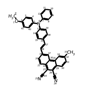 COc1ccc(N(c2ccccc2)c2ccc(C=Cc3ccc4c(C#N)c(C#N)c5ccc(C)cc5c4c3)cc2)cc1